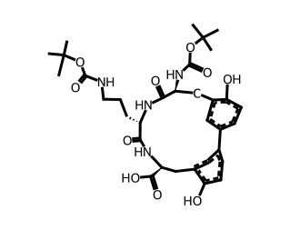 CC(C)(C)OC(=O)NCCC[C@@H]1NC(=O)[C@@H](NC(=O)OC(C)(C)C)Cc2cc(ccc2O)-c2ccc(O)c(c2)C[C@@H](C(=O)O)NC1=O